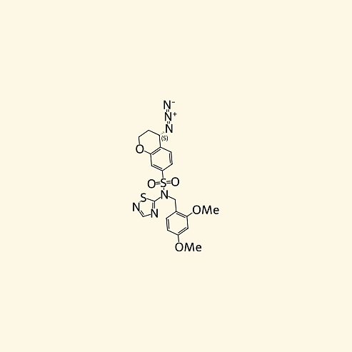 COc1ccc(CN(c2ncns2)S(=O)(=O)c2ccc3c(c2)OCC[C@@H]3N=[N+]=[N-])c(OC)c1